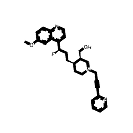 COc1ccc2nccc([C@H](F)CC[C@@H]3CCN(CC#Cc4ccccn4)C[C@@H]3CO)c2c1